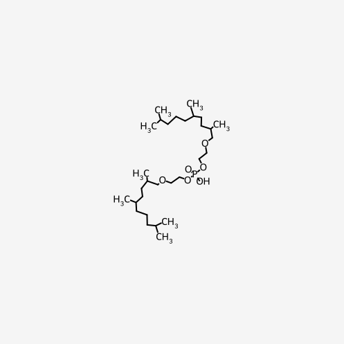 CC(C)CCCC(C)CCC(C)COCCOP(=O)(O)OCCOCC(C)CCC(C)CCCC(C)C